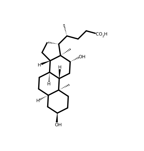 C[C@H](CCC(=O)O)[C@H]1CC[C@H]2[C@@H]3CC[C@@H]4C[C@H](O)CC[C@]4(C)[C@H]3C[C@@H](O)[C@]12C